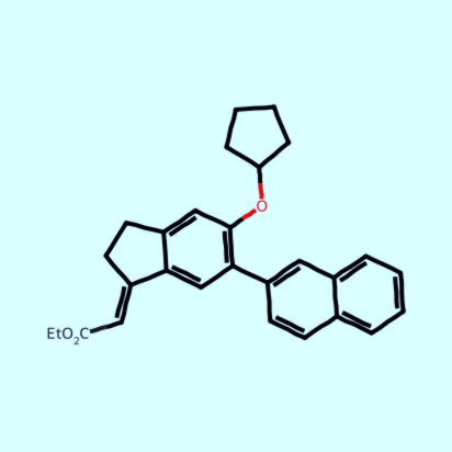 CCOC(=O)C=C1CCc2cc(OC3CCCC3)c(-c3ccc4ccccc4c3)cc21